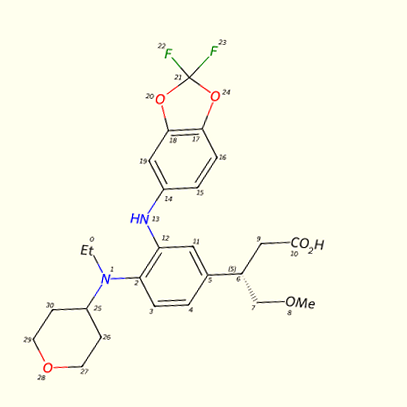 CCN(c1ccc([C@@H](COC)CC(=O)O)cc1Nc1ccc2c(c1)OC(F)(F)O2)C1CCOCC1